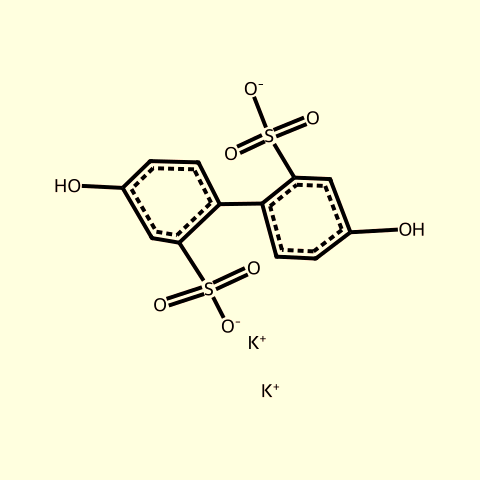 O=S(=O)([O-])c1cc(O)ccc1-c1ccc(O)cc1S(=O)(=O)[O-].[K+].[K+]